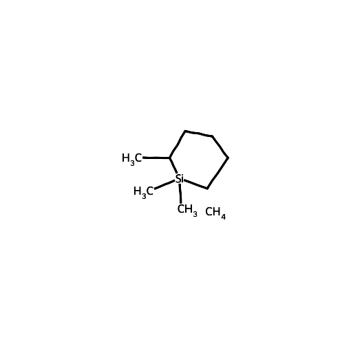 C.CC1CCCC[Si]1(C)C